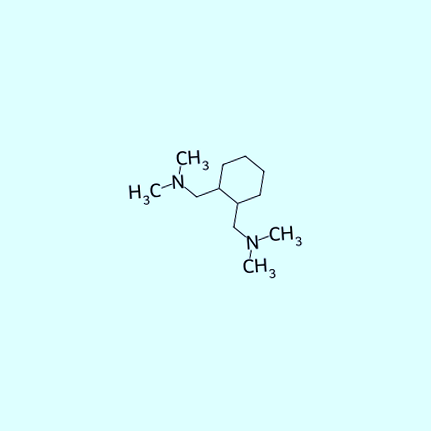 CN(C)CC1CCCCC1CN(C)C